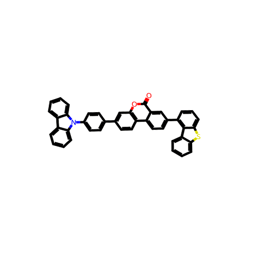 O=c1oc2cc(-c3ccc(-n4c5ccccc5c5ccccc54)cc3)ccc2c2ccc(-c3cccc4sc5ccccc5c34)cc12